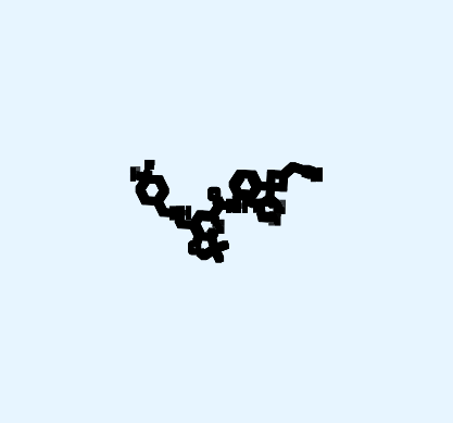 Cn1cnnc1C1(c2cccc(NC(=O)c3cc(CNCC4CCC(F)(F)CC4)c4c(n3)C(C)(C)CO4)c2)CC(CC#N)C1